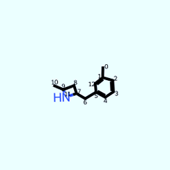 Cc1cccc(CC2CC(C)N2)c1